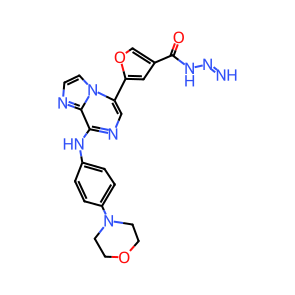 N=NNC(=O)c1coc(-c2cnc(Nc3ccc(N4CCOCC4)cc3)c3nccn23)c1